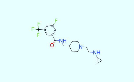 O=C(NCC1CCN(CCNC2CC2)CC1)c1cc(F)cc(C(F)(F)F)c1